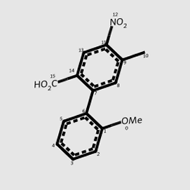 COc1ccccc1-c1cc(C)c([N+](=O)[O-])cc1C(=O)O